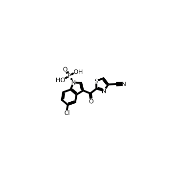 N#Cc1csc(C(=O)c2cn(P(=O)(O)O)c3ccc(Cl)cc23)n1